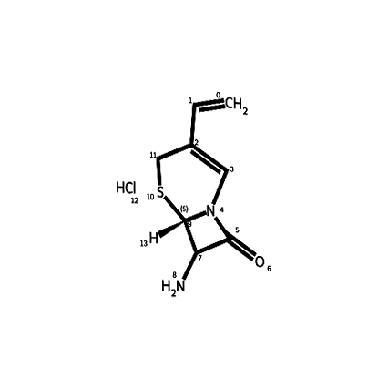 C=CC1=CN2C(=O)C(N)[C@@H]2SC1.Cl